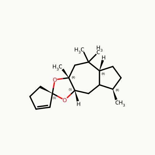 C[C@@H]1CC[C@@H]2C1C[C@@H]1O[C@]3(C=CCC3)O[C@]1(C)CC2(C)C